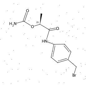 C[C@H](OC(N)=O)C(=O)Nc1ccc(CBr)cc1